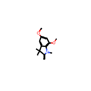 C=C1N(C)c2c(OC)cc(OC)cc2C1(C)C